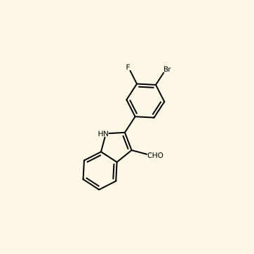 O=Cc1c(-c2ccc(Br)c(F)c2)[nH]c2ccccc12